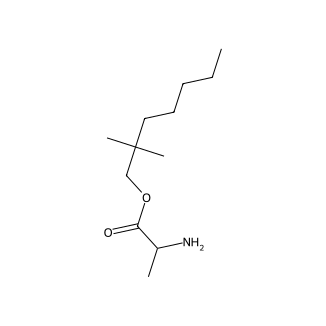 CCCCCC(C)(C)COC(=O)C(C)N